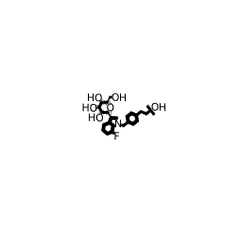 CC(C)(O)CCc1ccc(Cn2cc([C@@H]3O[C@H](CO)[C@@H](O)[C@H](O)[C@H]3O)c3cccc(F)c32)cc1